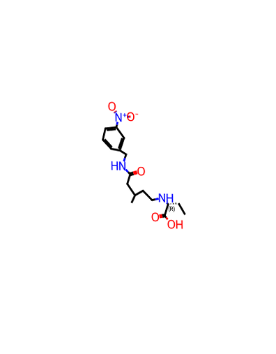 CC[C@@H](NCCC(C)CC(=O)NCc1cccc([N+](=O)[O-])c1)C(=O)O